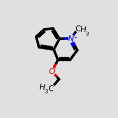 CCOc1cc[n+](C)c2ccccc12